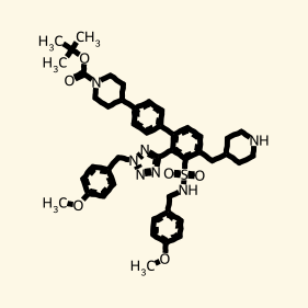 COc1ccc(CNS(=O)(=O)c2c(CC3CCNCC3)ccc(-c3ccc(C4CCN(C(=O)OC(C)(C)C)CC4)cc3)c2-c2nnn(Cc3ccc(OC)cc3)n2)cc1